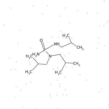 CC(C)CNP(N)(=O)N(CC(C)C)CC(C)C